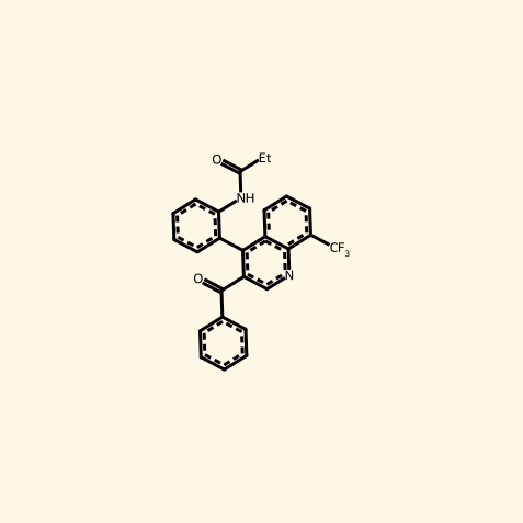 CCC(=O)Nc1ccccc1-c1c(C(=O)c2ccccc2)cnc2c(C(F)(F)F)cccc12